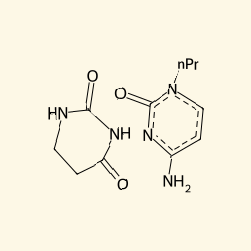 CCCn1ccc(N)nc1=O.O=C1CCNC(=O)N1